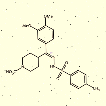 COc1ccc(/C(=N/NS(=O)(=O)c2ccc(C)cc2)C2CCN(C(=O)O)CC2)cc1OC